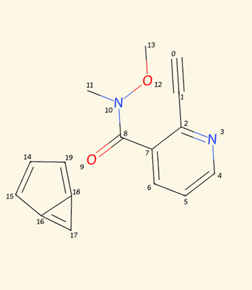 C#Cc1ncccc1C(=O)N(C)OC.c1cc2cc-2c1